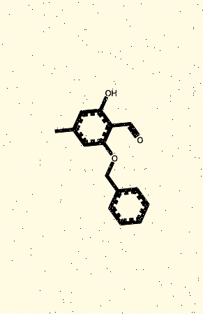 Cc1cc(O)c(C=O)c(OCc2ccccc2)c1